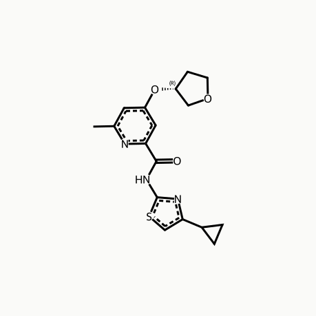 Cc1cc(O[C@@H]2CCOC2)cc(C(=O)Nc2nc(C3CC3)cs2)n1